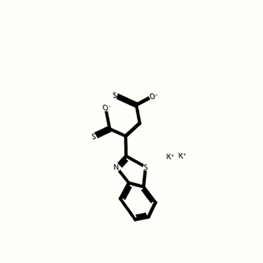 [K+].[K+].[O-]C(=S)CC(C([O-])=S)c1nc2ccccc2s1